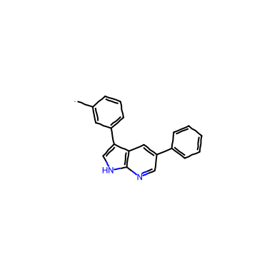 [CH2]c1cccc(-c2c[nH]c3ncc(-c4ccccc4)cc23)c1